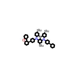 CC(C)(C)c1ccc2c(c1)B1c3cc(C(C)(C)C)ccc3N(c3ccc(-c4cccc5oc6ccccc6c45)cc3)c3cc(C(C)(C)C)cc(c31)N2c1ccc(-c2ccccc2)cc1